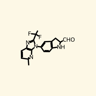 Cc1ccc2nc(C(C)(F)F)n(-c3ccc4c(c3)CC(C=O)N4)c2n1